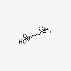 CCC(CC)(CCCCCCOC(=O)O)[SiH2]C